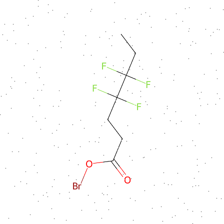 CCC(F)(F)C(F)(F)CCC(=O)OBr